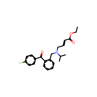 CCOC(=O)C=CCN(Cc1ccccc1C(=O)c1ccc(F)cc1)C(C)C